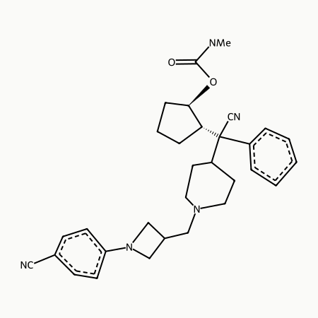 CNC(=O)O[C@@H]1CCC[C@H]1C(C#N)(c1ccccc1)C1CCN(CC2CN(c3ccc(C#N)cc3)C2)CC1